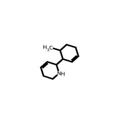 CC1CCC=CC1C1C=CCCN1